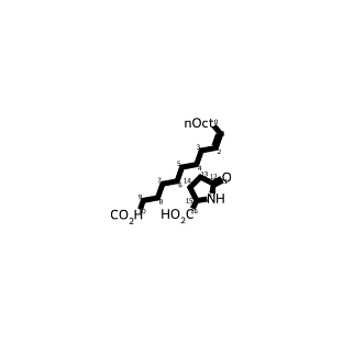 CCCCCCCC/C=C\CCCCCCCC(=O)O.O=C1CCC(C(=O)O)N1